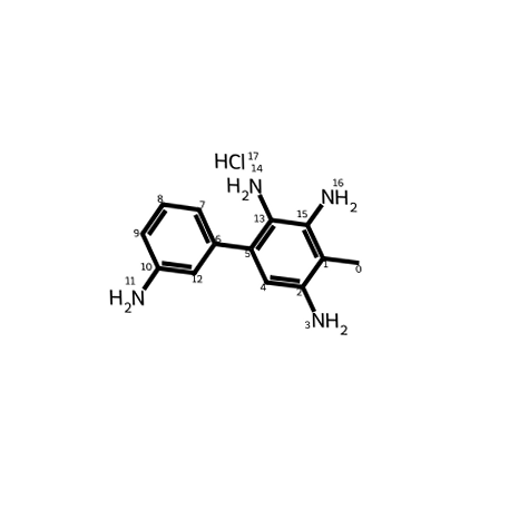 Cc1c(N)cc(-c2cccc(N)c2)c(N)c1N.Cl